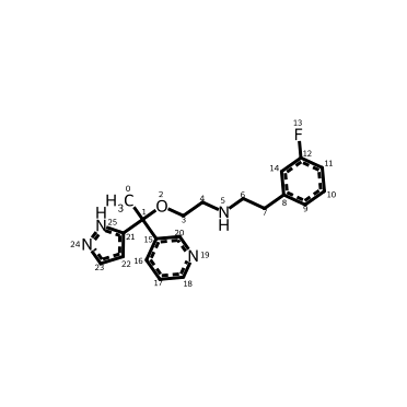 CC(OCCNCCc1cccc(F)c1)(c1cccnc1)c1ccn[nH]1